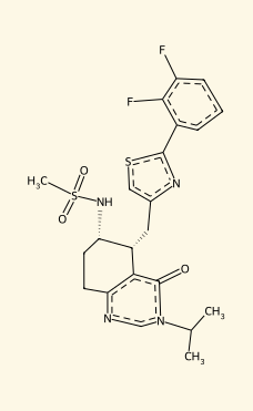 CC(C)n1cnc2c(c1=O)[C@@H](Cc1csc(-c3cccc(F)c3F)n1)[C@@H](NS(C)(=O)=O)CC2